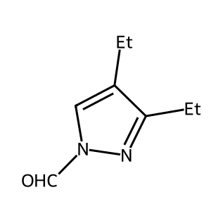 CCc1cn(C=O)nc1CC